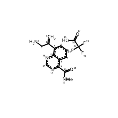 C=C(CN)c1cccc2c(C(=O)NC)ncnc12.O=C(O)C(F)(F)F